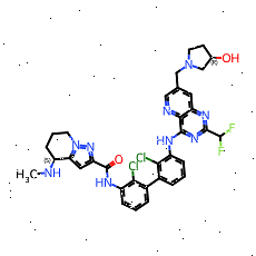 CN[C@H]1CCCn2nc(C(=O)Nc3cccc(-c4cccc(Nc5nc(C(F)F)nc6cc(CN7CC[C@@H](O)C7)cnc56)c4Cl)c3Cl)cc21